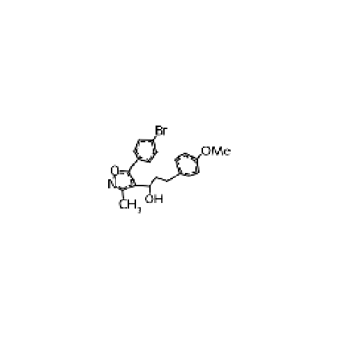 COc1ccc(CCC(O)c2c(C)noc2-c2ccc(Br)cc2)cc1